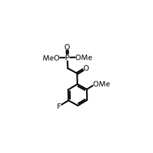 COc1ccc(F)cc1C(=O)CP(=O)(OC)OC